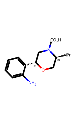 CC(C)[C@H]1CO[C@H](c2ccccc2N)CN1C(=O)O